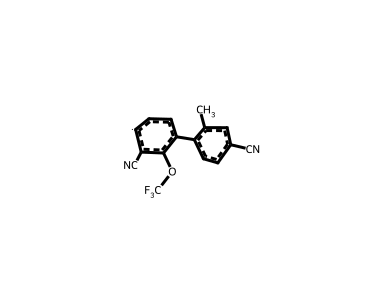 Cc1cc(C#N)ccc1-c1cc[c]c(C#N)c1OC(F)(F)F